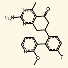 COc1ncccc1-c1cc(F)ccc1C1CC(=O)c2c(C)nc(N)nc2C1